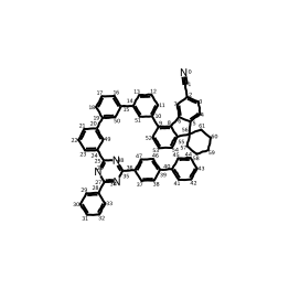 N#Cc1ccc2c(c1)-c1c(-c3cccc(-c4cccc(-c5cccc(-c6nc(-c7ccccc7)nc(-c7ccc(-c8ccccc8)cc7)n6)c5)c4)c3)cccc1C21CCCCC1